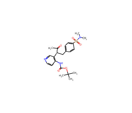 CC(=O)C(Cc1ccc(S(=O)(=O)N(C)C)cc1)c1cnccc1NC(=O)OC(C)(C)C